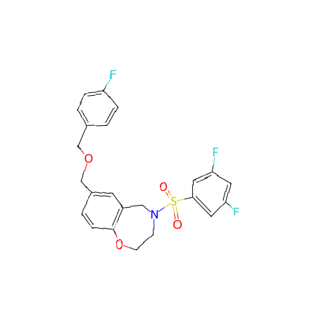 O=S(=O)(c1cc(F)cc(F)c1)N1CCOc2ccc(COCc3ccc(F)cc3)cc2C1